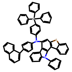 c1ccc(-n2c3ccccc3c3c(N(c4ccc(-c5cccc6ccccc56)cc4)c4ccc([Si](c5ccccc5)(c5ccccc5)c5ccccc5)cc4)cc4sc5ccccc5c4c32)cc1